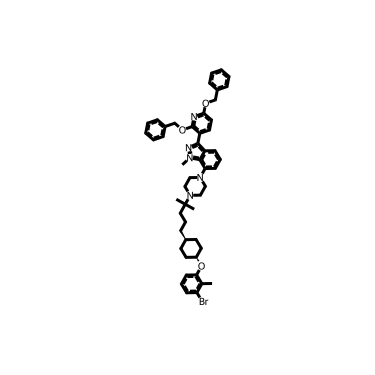 Cc1c(Br)cccc1O[C@H]1CC[C@H](CCCC(C)(C)N2CCN(c3cccc4c(-c5ccc(OCc6ccccc6)nc5OCc5ccccc5)nn(C)c34)CC2)CC1